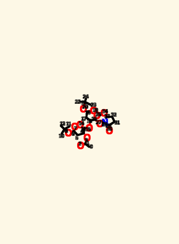 CC(=O)OC(CC(=O)OC(C)(C)C)C(=O)OC(CC(=O)OC(C)(C)C)C(=O)ON1C(=O)CCC1=O